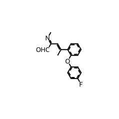 C/N=C(C=O)\C=C(/C)c1ccccc1Oc1ccc(F)cc1